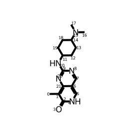 Cc1c(=O)[nH]cc2cnc(NC3CCC(N(C)C)CC3)nc12